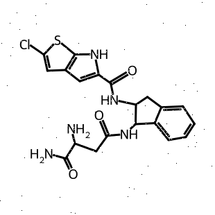 NC(=O)C(N)CC(=O)NC1c2ccccc2CC1NC(=O)c1cc2cc(Cl)sc2[nH]1